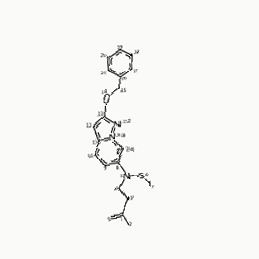 C=C(C)CCN(SI)c1ccc2cc(OCc3ccccc3)nn2c1